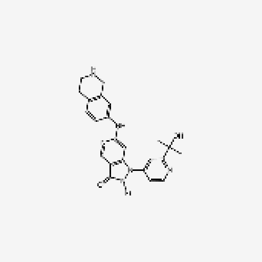 CCn1c(=O)c2cnc(Nc3ccc4c(c3)CNCC4)cc2n1-c1ccnc(C(C)(C)O)c1